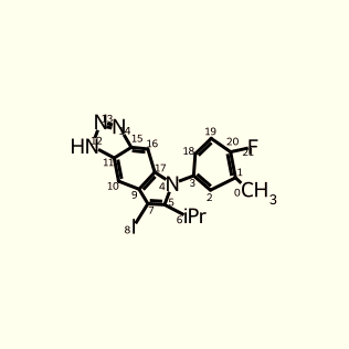 Cc1cc(-n2c(C(C)C)c(I)c3cc4[nH]nnc4cc32)ccc1F